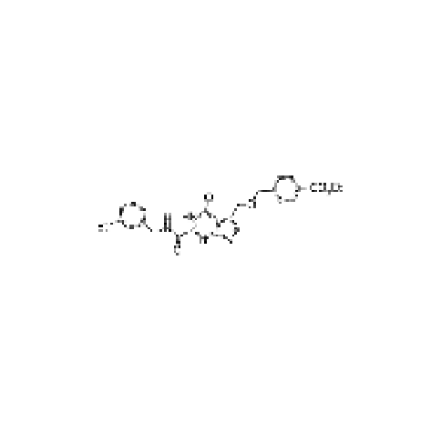 CCOC(=O)c1ccc(COCc2csc3nc(C(=O)NCc4cccc(CC)c4)[nH]c(=O)c23)cc1